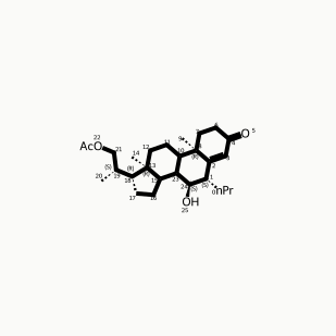 CCC[C@H]1C2=CC(=O)CC[C@]2(C)C2CC[C@@]3(C)C(CC[C@@H]3[C@H](C)COC(C)=O)C2[C@@H]1O